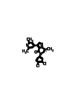 Cc1cc(-c2cnn3c2C(=O)N(c2ccc(Cl)c(Cl)c2)C[C@@H]3C)cc(C)n1